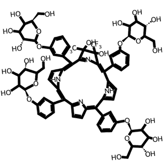 OCC1O[C@@H](Oc2cccc(-c3c4nc(c(-c5cccc(O[C@@H]6OC(CO)[C@@H](O)C(O)C6O)c5)c5ccc([nH]5)c(-c5cccc(O[C@@H]6OC(CO)[C@@H](O)C(O)C6O)c5)c5nc(c(-c6cccc(OC7O[C@H](CO)C(O)C(O)[C@H]7O)c6)c6ccc3[nH]6)C(O)(C(F)(F)F)C5(O)C(F)(F)F)C=C4)c2)C(O)C(O)[C@@H]1O